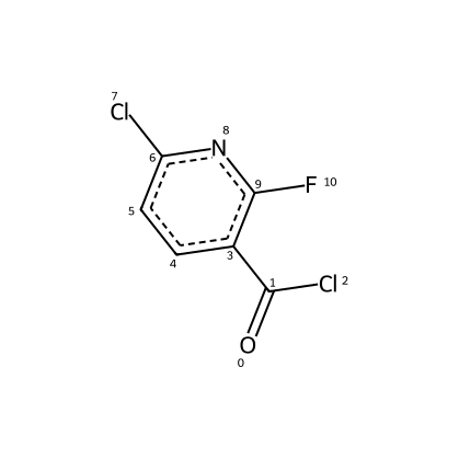 O=C(Cl)c1ccc(Cl)nc1F